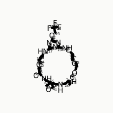 C[C@H]1CNCC2(CNC(=O)c3ccc(cc3)Nc3nc(nc(OCC(F)(F)F)n3)NCc3ccc(cc3)OC1)COC2